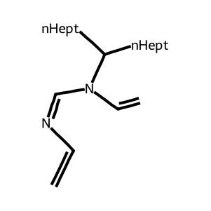 C=C/N=C\N(C=C)C(CCCCCCC)CCCCCCC